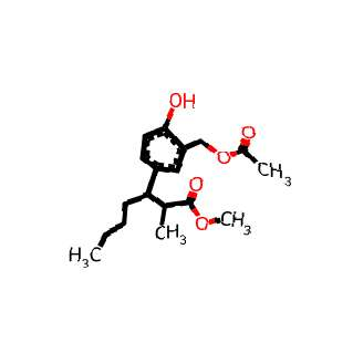 CCCCC(c1ccc(O)c(COC(C)=O)c1)C(C)C(=O)OC